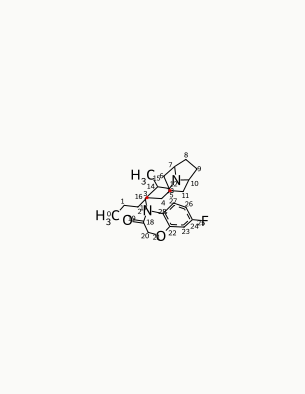 CCCCCC1CC2CCC(C1)N2CC(C)CN1C(=O)COc2cc(F)ccc21